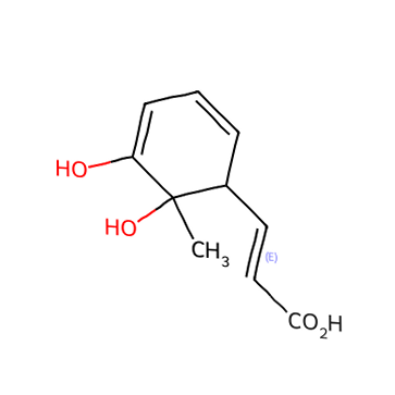 CC1(O)C(O)=CC=CC1/C=C/C(=O)O